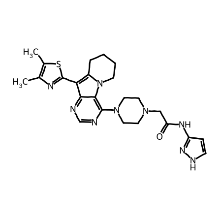 Cc1nc(-c2c3n(c4c(N5CCN(CC(=O)Nc6cc[nH]n6)CC5)ncnc24)CCCC3)sc1C